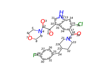 O=C(C(=O)N1CCOCC1)c1c[nH]c2cc(Cl)c(C(=O)N3CCC(Cc4ccc(F)cc4)CC3)cc12